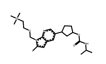 CC(C)NC(=O)OC1CCC(c2cnc3c(c2)cc(I)n3COCC[Si](C)(C)C)C1